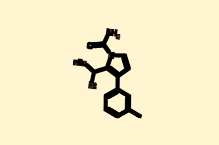 CCCCC(CC)c1c(-c2cccc(C)c2)ccn1C(N)=O